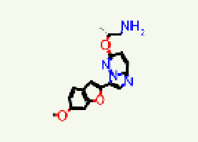 COc1ccc2cc(-c3cnc4ccc(O[C@H](C)CN)nn34)oc2c1